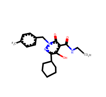 O=C(O)CNC(=O)c1c(O)c(C2CCCCC2)nn(Cc2ccc(C(F)(F)F)cc2)c1=O